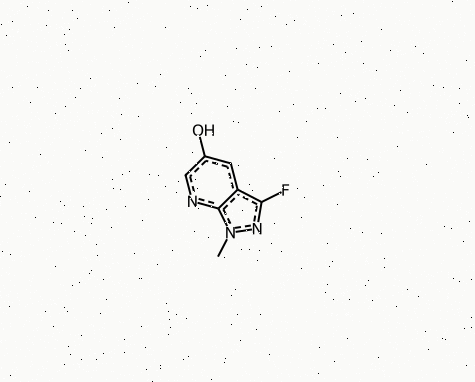 Cn1nc(F)c2cc(O)cnc21